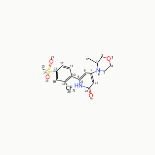 CC1COCCN1c1cc(-c2ccc(S(C)(=O)=O)cc2C(F)(F)F)[nH]c(=O)c1